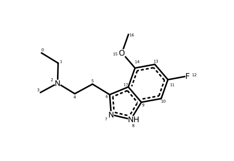 CCN(C)CCc1n[nH]c2cc(F)cc(OC)c12